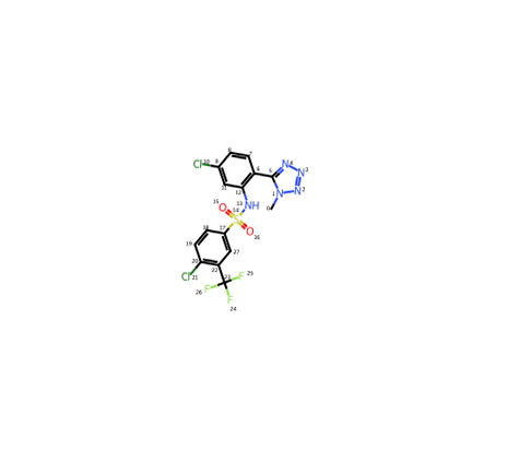 Cn1nnnc1-c1ccc(Cl)cc1NS(=O)(=O)c1ccc(Cl)c(C(F)(F)F)c1